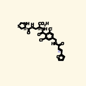 O=C(/C=C/c1ccco1)NCc1cc(Cl)c(C(=O)N[C@@H](CNC(=O)[C@@H]2CSCN2)C(=O)O)c(Cl)c1